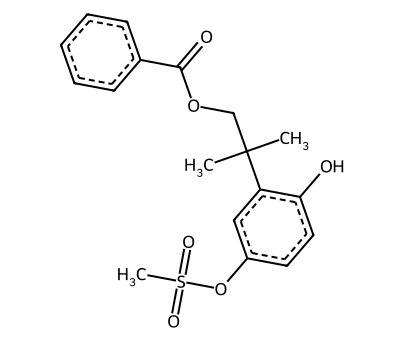 CC(C)(COC(=O)c1ccccc1)c1cc(OS(C)(=O)=O)ccc1O